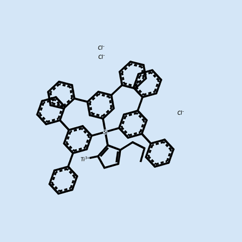 CCCC1=CC[C]([Ti+3])=C1[Si](c1cc(-c2ccccc2)cc(-c2ccccc2)c1)(c1cc(-c2ccccc2)cc(-c2ccccc2)c1)c1cc(-c2ccccc2)cc(-c2ccccc2)c1.[Cl-].[Cl-].[Cl-]